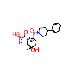 C[C@@]1(O)CC[C@H](C(=O)N2CCC(c3ccccc3)CC2)[C@@H](C(=O)NO)C1